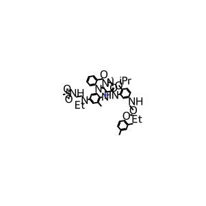 CCC(OCNc1ccc(OC(C)C)c(NC(=O)/C(=N/c2ccc(N(CC)CCNS(C)(=O)=O)cc2C)c2nc3ccccc3c(=O)n2N(C)C)c1)Oc1ccc(C)cc1C